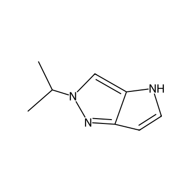 CC(C)n1cc2[nH]ccc2n1